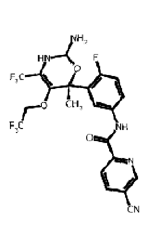 C[C@]1(c2cc(NC(=O)c3ccc(C#N)cn3)ccc2F)OC(N)NC(C(F)(F)F)=C1OCC(F)(F)F